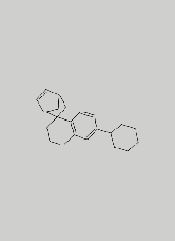 C1=CC2CC1CC21CCCc2cc(C3CCCCC3)ccc21